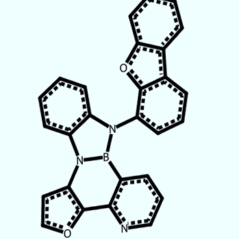 c1cnc2c(c1)B1N(c3ccccc3N1c1cccc3c1oc1ccccc13)c1ccoc1-2